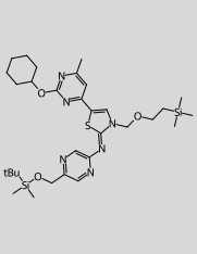 Cc1cc(-c2cn(COCC[Si](C)(C)C)/c(=N/c3cnc(CO[Si](C)(C)C(C)(C)C)cn3)s2)nc(OC2CCCCC2)n1